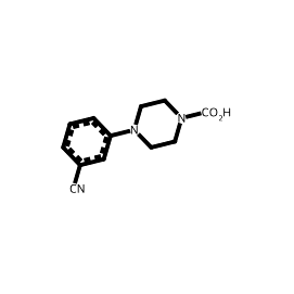 N#Cc1cccc(N2CCN(C(=O)O)CC2)c1